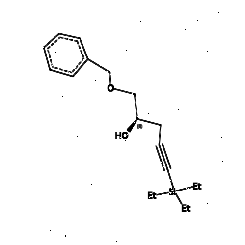 CC[Si](C#CC[C@@H](O)COCc1ccccc1)(CC)CC